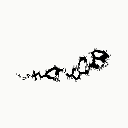 CC(C)(N)CCc1ccc(OCC2CCC3CN(c4noc5ccccc45)CCN3C2)nc1